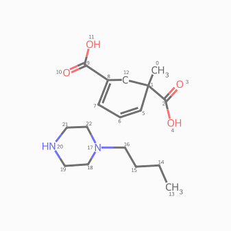 CC1(C(=O)O)C=CC=C(C(=O)O)C1.CCCCN1CCNCC1